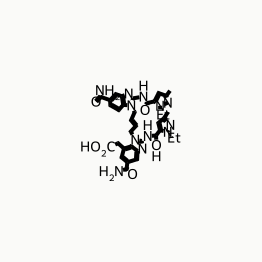 CCn1nc(C)cc1C(=O)Nc1nc2cc(C(N)=O)ccc2n1C/C=C/Cn1c(NC(O)c2cc(C)nn2CC)nc2cc(C(N)=O)cc(CC(=O)O)c21